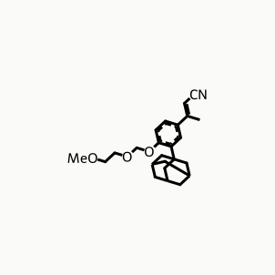 COCCOCOc1ccc(C(C)=CC#N)cc1C12CC3CC(CC(C3)C1)C2